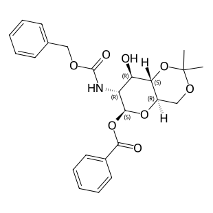 CC1(C)OC[C@H]2O[C@@H](OC(=O)c3ccccc3)[C@H](NC(=O)OCc3ccccc3)[C@@H](O)[C@@H]2O1